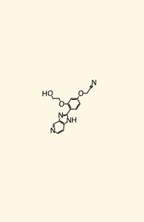 N#CCOc1ccc(-c2nc3cnccc3[nH]2)c(OCCO)c1